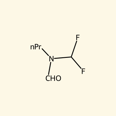 CCCN(C=O)C(F)F